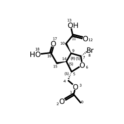 CC(=O)OC[C@H]1O[C@@H](Br)[C@H](CC(=O)O)[C@@H]1CC(=O)O